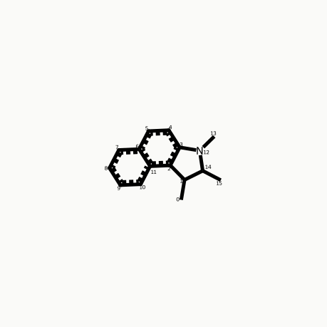 CC1c2c(ccc3ccccc23)N(C)C1C